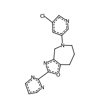 Clc1cncc(N2CCCc3oc(-c4ncccn4)nc3C2)c1